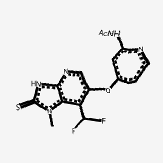 CC(=O)Nc1cc(Oc2cnc3[nH]c(=S)n(C)c3c2C(F)F)ccn1